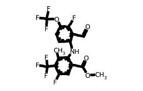 COC(=O)c1cc(F)c(C(F)(F)F)c(C)c1Nc1ccc(OC(F)(F)F)c(F)c1C=O